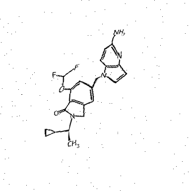 C[C@@H](C1CC1)N1Cc2cc(-n3ccc4nc(N)ccc43)cc(OC(F)F)c2C1=O